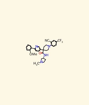 COc1ccccc1-c1ccc(C2(C(=O)N[C@H]3CCN(C)C3)CCN(c3ccc(C(F)(F)F)cc3C#N)CC2)cn1